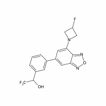 OC(c1cccc(-c2cc(N3CC(F)C3)c3nonc3c2)c1)C(F)(F)F